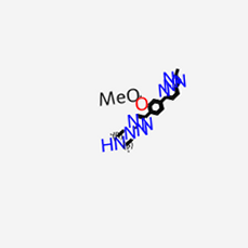 COCOc1cc(-c2ccc3nc(C)nn3n2)ccc1-c1cnc(N2C[C@@H](C)N[C@@H](C)C2)nn1